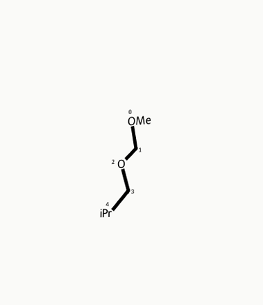 COCO[CH]C(C)C